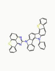 c1ccc(-n2c3ccc4c5ccccc5sc4c3c3ccc4c(c5ccccc5n4-c4nc5c6c(cccc6n4)Sc4ccccc4-5)c32)cc1